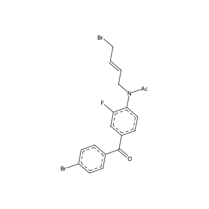 CC(=O)N(CC=CCBr)c1ccc(C(=O)c2ccc(Br)cc2)cc1F